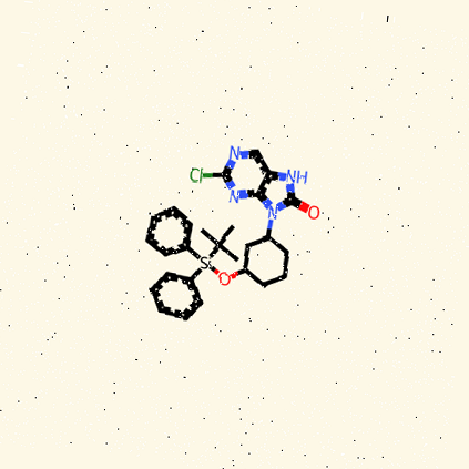 CC(C)(C)[Si](OC1CCCC(n2c(=O)[nH]c3cnc(Cl)nc32)C1)(c1ccccc1)c1ccccc1